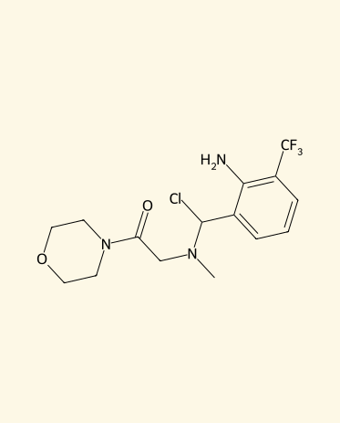 CN(CC(=O)N1CCOCC1)C(Cl)c1cccc(C(F)(F)F)c1N